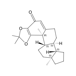 CC1(C)OC2=C(O1)[C@@]1(C)C(=CC2=O)CC[C@H]2[C@@H]3CCC[C@@]3(C)CC[C@@H]21